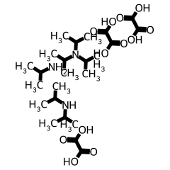 CC(C)N.CC(C)N(C(C)C)C(C)C.CC(C)NC(C)C.O=C(O)C(=O)O.O=C(O)C(=O)O.O=C(O)C(=O)O